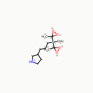 CC(=O)O[Si](CCCC1CCNC1)(C1(C)OO1)C1(C)OO1